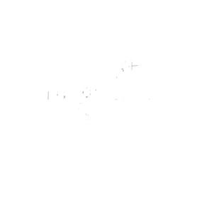 C[C@@H](Cc1ccc(O)c2c1CCCC2)C(=O)CO